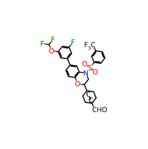 O=CC12CCC(C3CN(S(=O)(=O)c4cccc(C(F)(F)F)c4)c4cc(-c5cc(F)cc(OC(F)F)c5)ccc4O3)(CC1)CC2